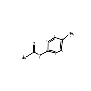 CCC(C)C(=O)Oc1ccc(N)cc1